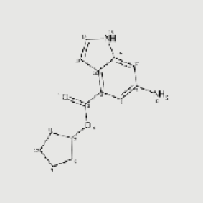 Nc1cc(C(=O)OC2CCCC2)c2cc[nH]c2c1